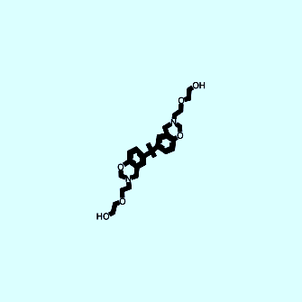 CC(C)(c1ccc2c(c1)CN(CCOCCO)CO2)c1ccc2c(c1)CN(CCOCCO)CO2